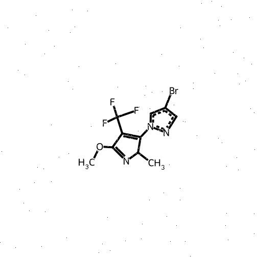 COC1=NC(C)C(n2cc(Br)cn2)=C1C(F)(F)F